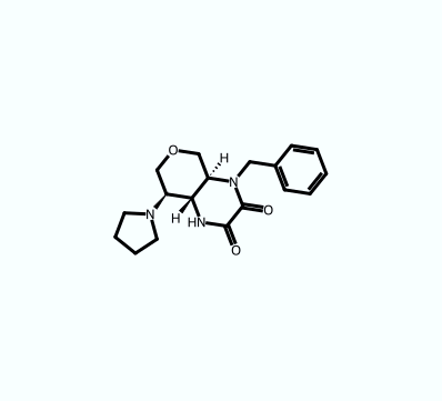 O=C1N[C@H]2[C@@H](COC[C@@H]2N2CCCC2)N(Cc2ccccc2)C1=O